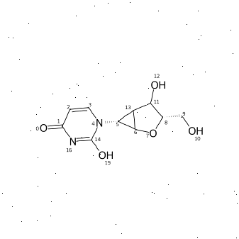 O=c1ccn([C@H]2C3O[C@@H](CO)C(O)C32)c(O)n1